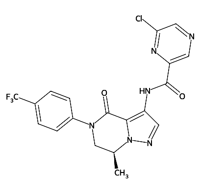 C[C@H]1CN(c2ccc(C(F)(F)F)cc2)C(=O)c2c(NC(=O)c3cncc(Cl)n3)cnn21